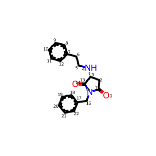 O=C1C[C@@H](NCCc2ccccc2)C(=O)N1Cc1ccccc1